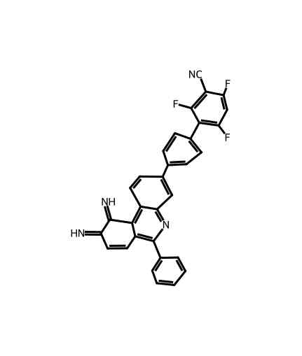 N#Cc1c(F)cc(F)c(-c2ccc(-c3ccc4c5c(c(-c6ccccc6)nc4c3)C=CC(=N)C5=N)cc2)c1F